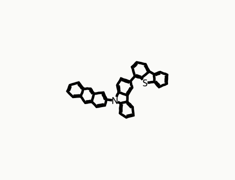 c1ccc2cc3cc(-n4c5ccccc5c5cc(-c6cccc7c6sc6ccccc67)ccc54)ccc3cc2c1